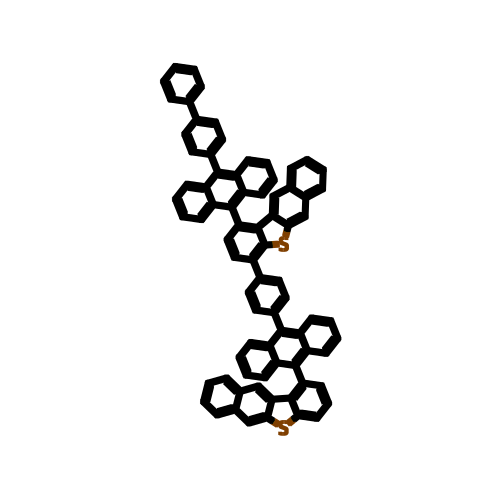 c1ccc(-c2ccc(-c3c4ccccc4c(-c4ccc(-c5ccc(-c6c7ccccc7c(-c7cccc8sc9cc%10ccccc%10cc9c78)c7ccccc67)cc5)c5sc6cc7ccccc7cc6c45)c4ccccc34)cc2)cc1